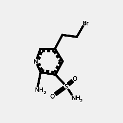 Nc1ncc(CCBr)cc1S(N)(=O)=O